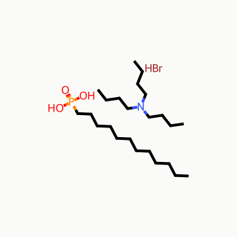 Br.CCCCCCCCCCCCP(=O)(O)O.CCCCN(CCCC)CCCC